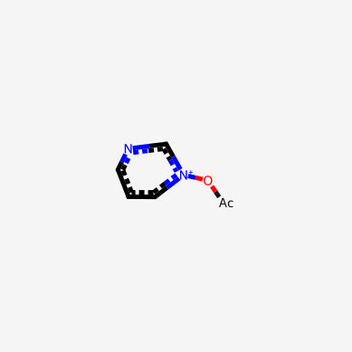 CC(=O)O[n+]1cccnc1